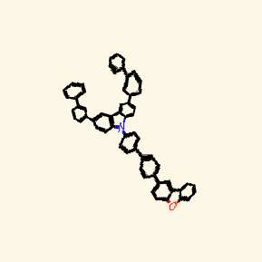 c1ccc(-c2cccc(-c3ccc4c(c3)c3cc(-c5cccc(-c6ccccc6)c5)ccc3n4-c3ccc(-c4ccc(-c5ccc6oc7ccccc7c6c5)cc4)cc3)c2)cc1